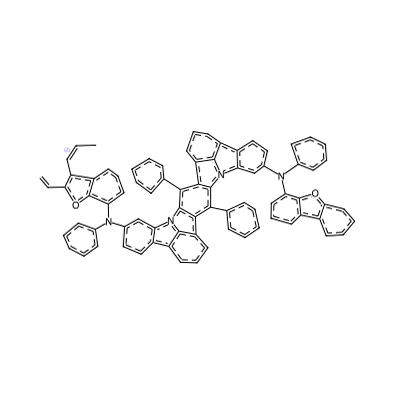 C=Cc1oc2c(N(c3ccccc3)c3ccc4c5cccc6c7c(-c8ccccc8)c8c(c(-c9ccccc9)c7n(c4c3)c56)c3cccc4c5ccc(N(c6ccccc6)c6cccc7c6oc6ccccc67)cc5n8c43)cccc2c1/C=C\C